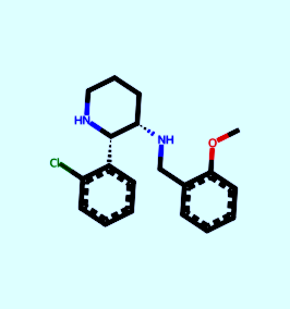 COc1ccccc1CN[C@H]1CCCN[C@H]1c1ccccc1Cl